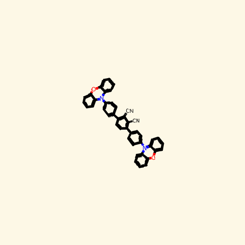 N#Cc1c(-c2ccc(N3c4ccccc4Oc4ccccc43)cc2)ccc(-c2ccc(N3c4ccccc4Oc4ccccc43)cc2)c1C#N